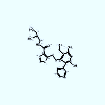 CCc1c(O)cc(O)c(-c2ccccc2)c1CCc1ocnc1C(=O)NCC(O)CO